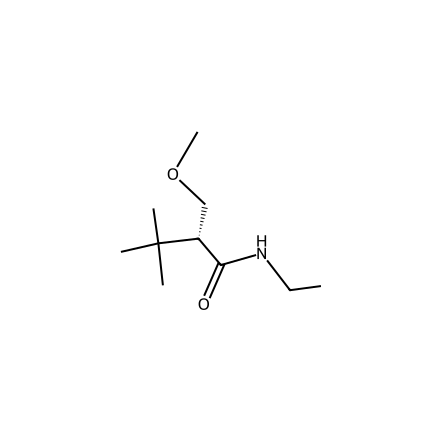 CCNC(=O)[C@@H](COC)C(C)(C)C